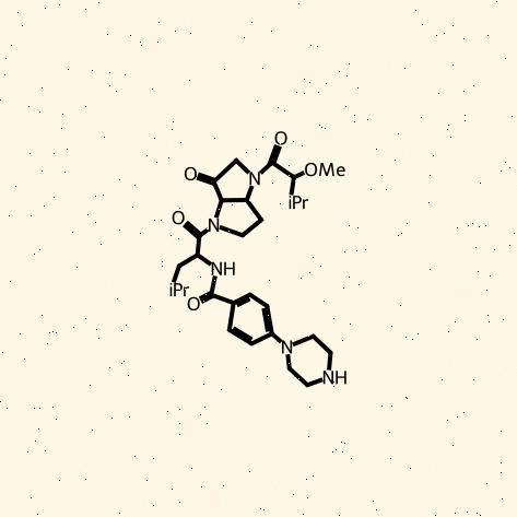 COC(C(=O)N1CC(=O)C2C1CCN2C(=O)C(CC(C)C)NC(=O)c1ccc(N2CCNCC2)cc1)C(C)C